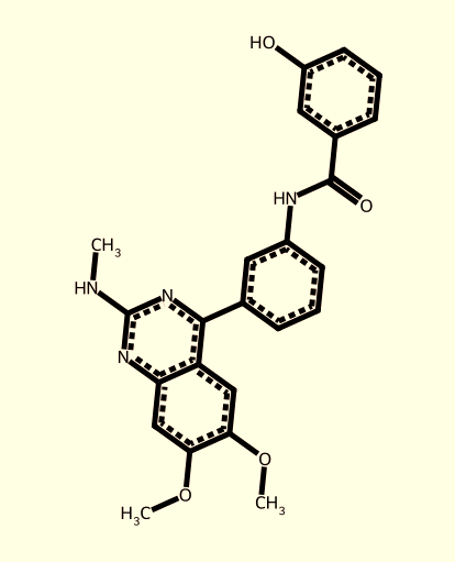 CNc1nc(-c2cccc(NC(=O)c3cccc(O)c3)c2)c2cc(OC)c(OC)cc2n1